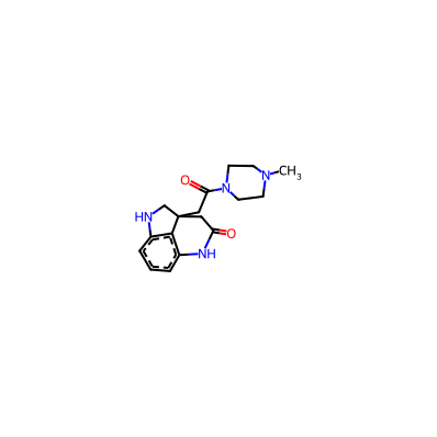 CN1CCN(C(=O)CC23CNc4cccc(c42)NC(=O)C3)CC1